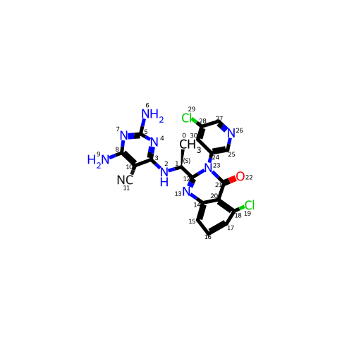 C[C@H](Nc1nc(N)nc(N)c1C#N)c1nc2cccc(Cl)c2c(=O)n1-c1cncc(Cl)c1